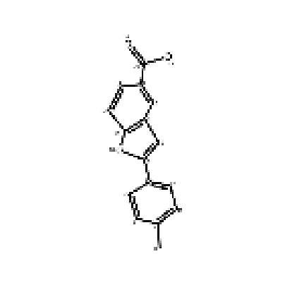 Cc1ccc(-c2cc3cc(C(=O)O)ccc3o2)cc1